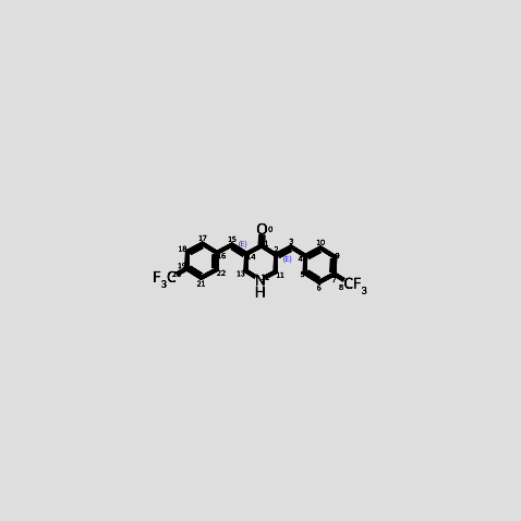 O=C1/C(=C/c2ccc(C(F)(F)F)cc2)CNC/C1=C\c1ccc(C(F)(F)F)cc1